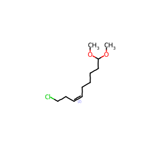 COC(CCCC/C=C\CCCl)OC